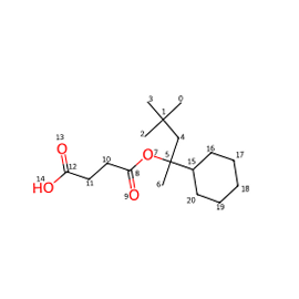 CC(C)(C)CC(C)(OC(=O)CCC(=O)O)C1CCCCC1